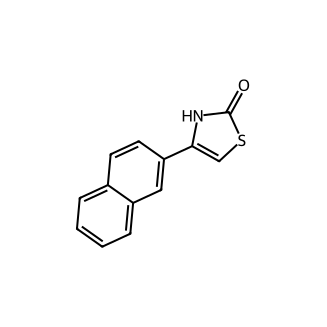 O=c1[nH]c(-c2ccc3ccccc3c2)cs1